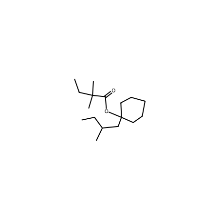 CCC(C)CC1(OC(=O)C(C)(C)CC)CCCCC1